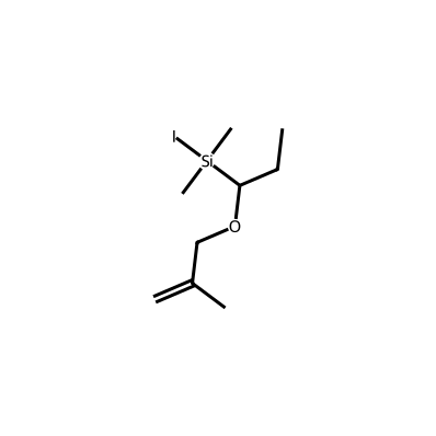 C=C(C)COC(CC)[Si](C)(C)I